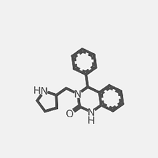 O=C1Nc2ccccc2C(c2ccccc2)N1CC1CCCN1